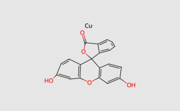 O=C1OC2(c3ccc(O)cc3Oc3cc(O)ccc32)c2ccccc21.[Cu]